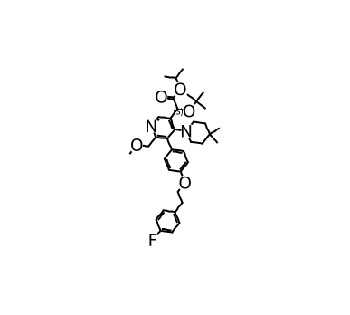 COCc1ncc([C@H](OC(C)(C)C)C(=O)OC(C)C)c(N2CCC(C)(C)CC2)c1-c1ccc(OCCc2ccc(F)cc2)cc1